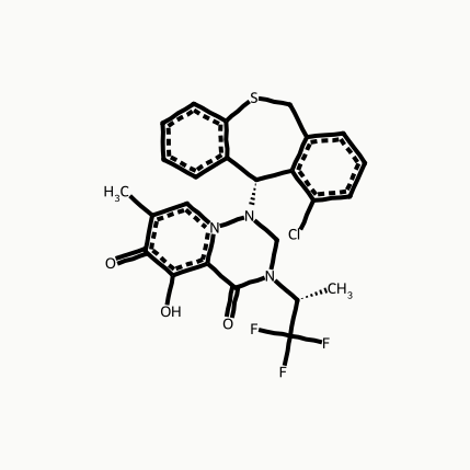 Cc1cn2c(c(O)c1=O)C(=O)N([C@H](C)C(F)(F)F)CN2[C@@H]1c2ccccc2SCc2cccc(Cl)c21